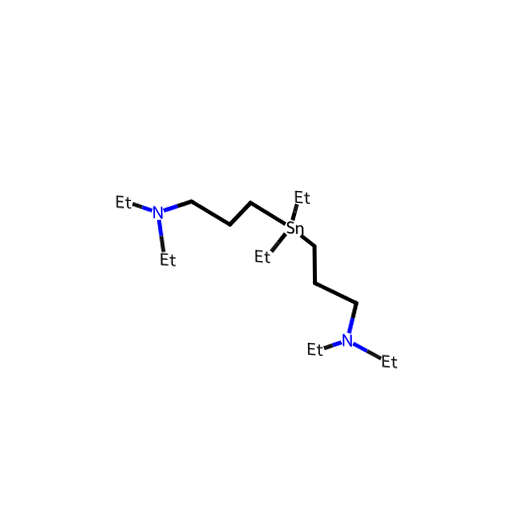 CCN(CC)CC[CH2][Sn]([CH2]C)([CH2]C)[CH2]CCN(CC)CC